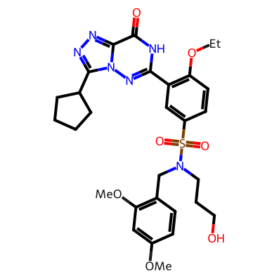 CCOc1ccc(S(=O)(=O)N(CCCO)Cc2ccc(OC)cc2OC)cc1-c1nn2c(C3CCCC3)nnc2c(=O)[nH]1